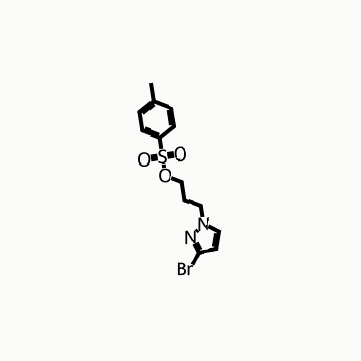 Cc1ccc(S(=O)(=O)OCCCn2ccc(Br)n2)cc1